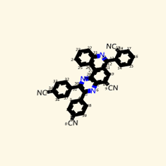 N#Cc1ccc(-c2nc3c(C#N)cc4c(-c5ccccc5C#N)nc5ccccc5c4c3nc2-c2ccc(C#N)cc2)cc1